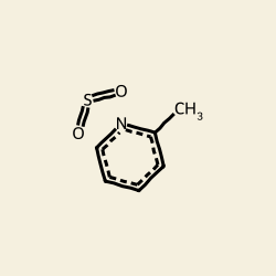 Cc1ccccn1.O=S=O